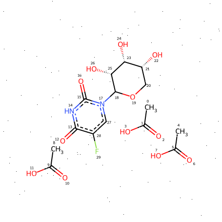 CC(=O)O.CC(=O)O.CC(=O)O.O=c1[nH]c(=O)n(C2OC[C@@H](O)[C@@H](O)[C@H]2O)cc1F